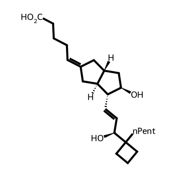 CCCCCC1([C@@H](O)/C=C/[C@@H]2[C@H]3C/C(=C/CCCC(=O)O)C[C@@H]3C[C@H]2O)CCC1